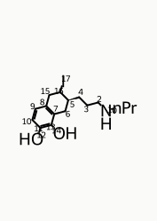 CCCNCCC[C@H]1Cc2c(ccc(O)c2O)CC1I